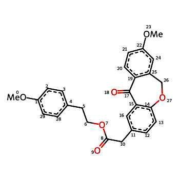 COc1ccc(CCOC(=O)Cc2ccc3c(c2)C(=O)c2ccc(OC)cc2CO3)cc1